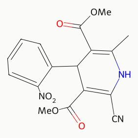 COC(=O)C1=C(C)NC(C#N)=C(C(=O)OC)C1c1ccccc1[N+](=O)[O-]